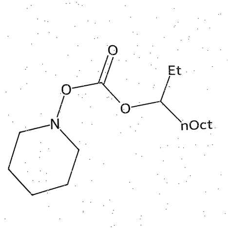 CCCCCCCCC(CC)OC(=O)ON1CCCCC1